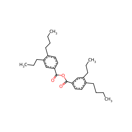 CCCCc1ccc(C(=O)OC(=O)c2ccc(CCCC)c(CCC)c2)cc1CCC